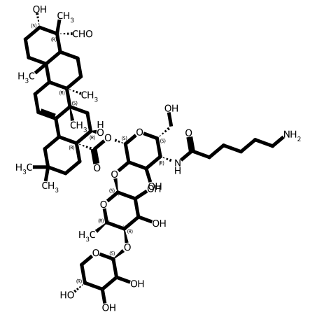 C[C@H]1O[C@@H](OC2C(O)[C@@H](NC(=O)CCCCCN)[C@@H](CO)O[C@H]2OC(=O)[C@]23CCC(C)(C)CC2C2=CCC4C5(C)CC[C@H](O)[C@](C)(C=O)C5CC[C@@]4(C)[C@]2(C)C[C@H]3O)C(O)C(O)[C@H]1O[C@@H]1OC[C@@H](O)C(O)C1O